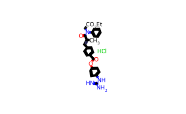 CCOC(=O)CN(C(=O)/C(C)=C/c1ccc(C(=O)Oc2ccc(NC(=N)N)cc2)cc1)c1ccccc1.Cl